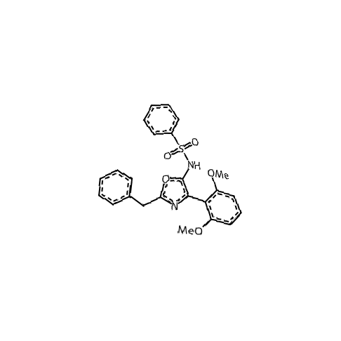 COc1cccc(OC)c1-c1nc(Cc2ccccc2)oc1NS(=O)(=O)c1ccccc1